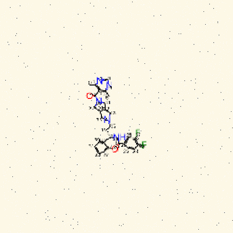 Cc1ncnc(C)c1C(=O)N1CC2CN(CC[C@H](NC(=O)c3ccc(F)c(F)c3)c3ccccc3)CC2C1